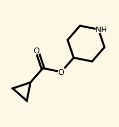 O=C(OC1CCNCC1)C1CC1